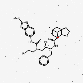 CNc1nc2cc(NC(=O)N(CCC(C)C)C[C@@H](O)[C@H](Cc3ccccc3)NC(=O)OC3C4COC5OCC3C5C4)ccc2o1